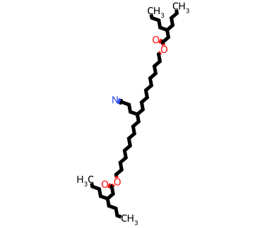 CCCCC(CCCC)CC(=O)OCCCCCCCCCCC(CCC#N)CCCCCCCCCCOC(=O)CC(CCCC)CCCC